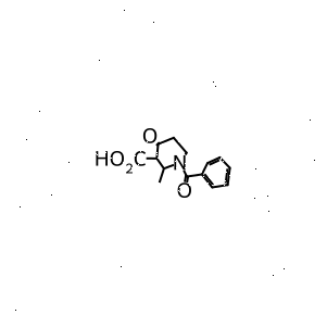 CC1C(C(=O)O)C(=O)CCN1C(=O)c1ccccc1